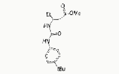 CCC(CC(=O)OC)NC(=O)Nc1ccc(C(C)(C)C)cc1